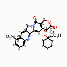 CC[C@@]1(OC2(C(=O)O)CCCCC2)C(=O)OCc2c1cc1n(c2=O)Cc2cc3c([N+](=O)[O-])cccc3nc2-1